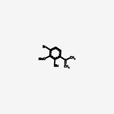 COc1c(Br)ccc([SiH](C)C)c1C(C)(C)C